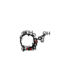 CO[C@@H]1CC(CCC2CC(=O)[C@H](C)/C=C(\C)[C@@H](O)[C@@H](OC)C(=O)[C@H](C)C[C@H](C)/C=C/C=C/C=C(\C)C(OC(C)C)C[C@@H]3CC[C@@H](C)[C@@](O)(O3)C(=O)C(=O)N3CCCC[C@H]3C(=O)O2)CC[C@H]1OCCO